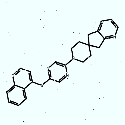 c1cnc2c(c1)CC1(CCN(c3cnc(Sc4ccnc5ccccc45)cn3)CC1)C2